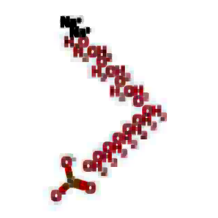 O.O.O.O.O.O.O.O.O.O.O.O.O.O.O=S([O-])[O-].[Na+].[Na+]